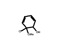 COC1(Cl)C=CC=CC1O